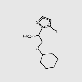 OC(COC1CCCCC1)c1sccc1I